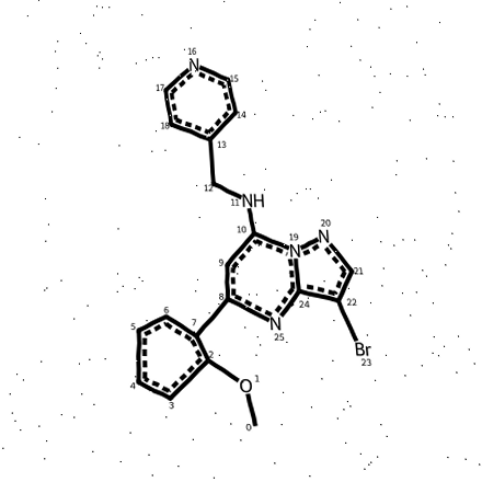 COc1ccccc1-c1cc(NCc2ccncc2)n2ncc(Br)c2n1